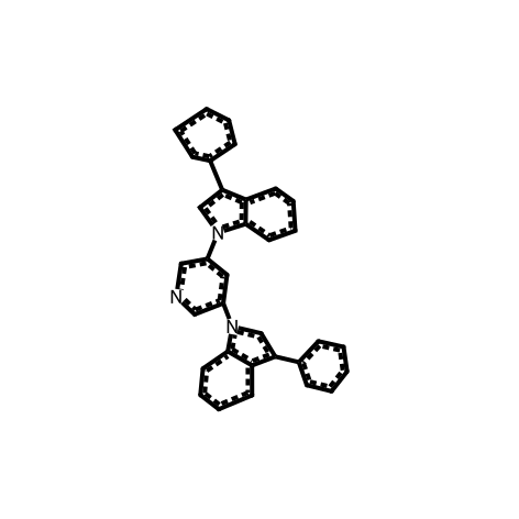 c1ccc(-c2cn(-c3cncc(-n4cc(-c5ccccc5)c5ccccc54)c3)c3ccccc23)cc1